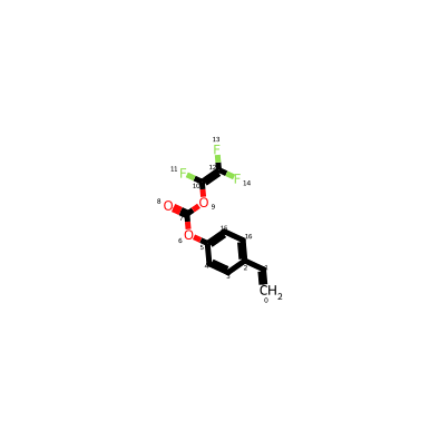 C=Cc1ccc(OC(=O)OC(F)=C(F)F)cc1